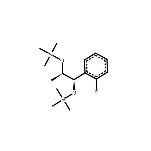 C[C@@H](O[Si](C)(C)C)[C@H](O[Si](C)(C)C)c1ccccc1F